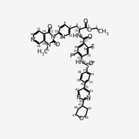 CCOC(=O)[C@H](Cc1ccc(-n2c(=O)c3ccncc3n(C)c2=O)nc1)NC(=O)c1cc(F)c(N[S+]([O-])c2ccc(-c3cnc(C4CCOCC4)nc3)cc2)cc1F